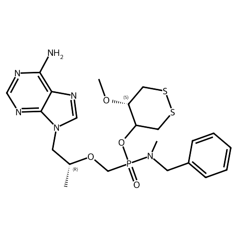 CO[C@@H]1CSSCC1OP(=O)(CO[C@H](C)Cn1cnc2c(N)ncnc21)N(C)Cc1ccccc1